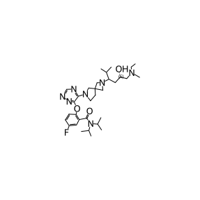 CCN(C)C[C@@H](O)CC(C(C)C)N1CC2(CCN(c3ncnnc3Oc3ccc(F)cc3C(=O)N(C(C)C)C(C)C)C2)C1